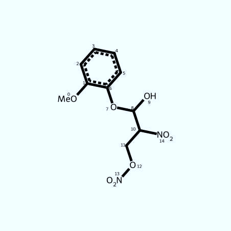 COc1ccccc1OC(O)C(CO[N+](=O)[O-])[N+](=O)[O-]